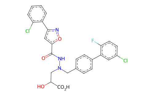 O=C(NN(Cc1ccc(-c2cc(Cl)ccc2F)cc1)CC(O)C(=O)O)c1cc(-c2ccccc2Cl)no1